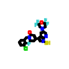 O=c1cc(-c2cn(S)c3ncc(N4CC(F)(F)OC(F)(F)C4)cc23)ccn1Cc1cccc(Cl)c1F